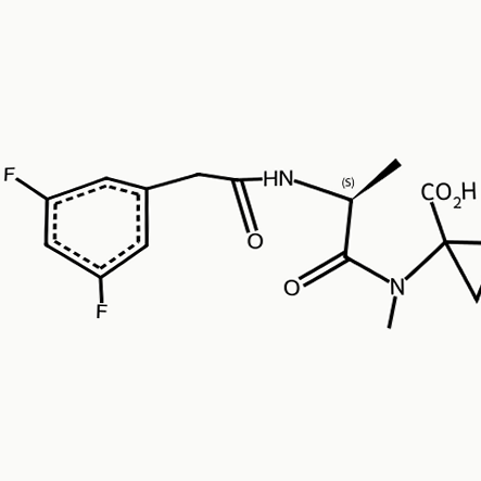 C[C@H](NC(=O)Cc1cc(F)cc(F)c1)C(=O)N(C)C1(C(=O)O)CC1